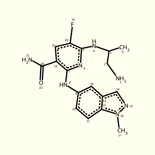 CC(CN)Nc1nc(Nc2ccc3c(cnn3C)c2)c(C(N)=O)cc1F